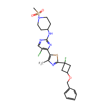 CS(=O)(=O)N1CCC(Nc2ncc(F)c(-c3sc(C4(F)CC(OCc5ccccc5)C4)nc3C(F)(F)F)n2)CC1